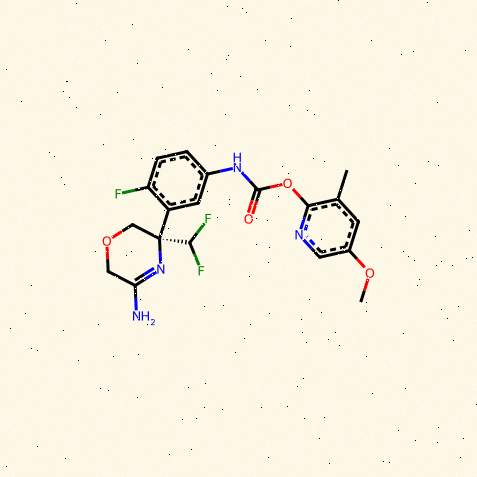 COc1cnc(OC(=O)Nc2ccc(F)c([C@]3(C(F)F)COCC(N)=N3)c2)c(C)c1